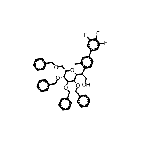 Cc1cc(-c2cc(F)c(Cl)c(F)c2)ccc1[C@@H](CO)[C@H]1O[C@H](COCc2ccccc2)[C@@H](OCc2ccccc2)[C@H](OCc2ccccc2)[C@@H]1OCc1ccccc1